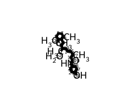 CC(C=CC1=C(C)CCCC1(C)C)=CC=CC(C)=CC(=O)Nc1ccc(O)cc1.O